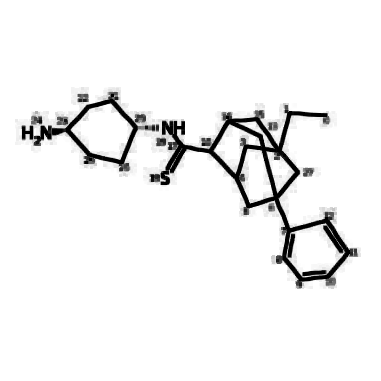 CCC12CC3CC(c4ccccc4)(CC(C1)C3C(=S)N[C@H]1CC[C@H](N)CC1)C2